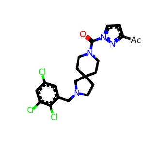 CC(=O)c1ccn(C(=O)N2CCC3(CCN(Cc4cc(Cl)cc(Cl)c4Cl)C3)CC2)n1